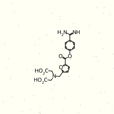 N=C(N)c1ccc(OC(=O)c2ccc(CN(CC(=O)O)CC(=O)O)o2)cc1